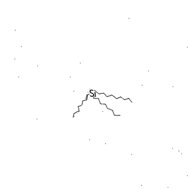 CCCCCCC=C[Si](C)(CCCCCCCC)CCCCCCCCCC